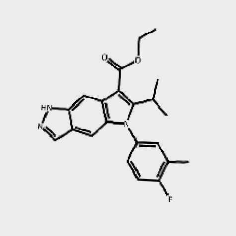 CCOC(=O)c1c(C(C)C)n(-c2ccc(F)c(C)c2)c2cc3cn[nH]c3cc12